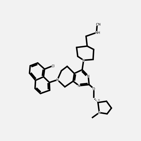 CN1CCC[C@H]1COc1nc2c(c(N3CCC(CNC#N)CC3)n1)CCN(c1cccc3cccc(Cl)c13)C2